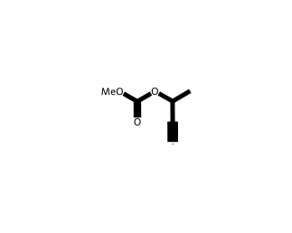 [C]#CC(C)OC(=O)OC